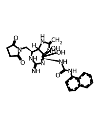 C=C1N[C@H]2[C@H](CN3C(=O)CCC3=O)NC(=N)N3C[C@H](NC(=O)Nc4cccc5ccccc45)C(O)(O)[C@]23N1